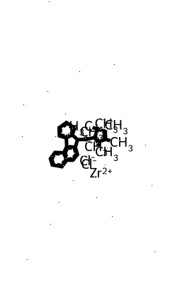 CC1=C(C)C(C)(C)C(C(C)(C)C2c3ccccc3-c3c2ccc2ccccc32)=C1C.[Cl-].[Cl-].[Zr+2]